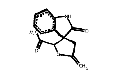 C=C1C[C@@]2(C(=O)Nc3ccccc32)C(C(C)=O)O1